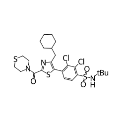 CC(C)(C)NS(=O)(=O)c1ccc(-c2sc(C(=O)N3CCSCC3)nc2CC2CCCCC2)c(Cl)c1Cl